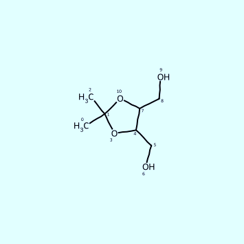 CC1(C)OC(CO)C(CO)O1